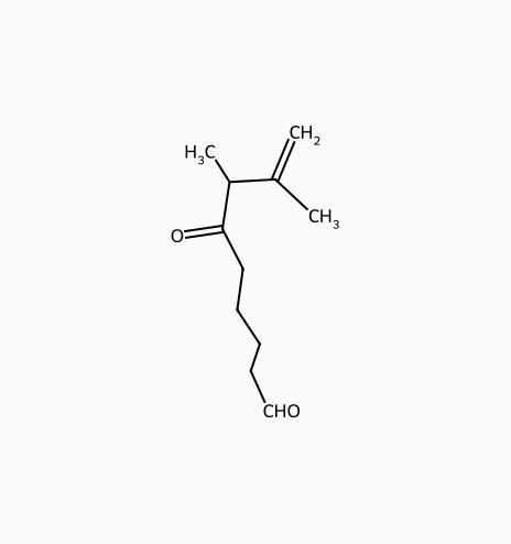 C=C(C)C(C)C(=O)CCCCC=O